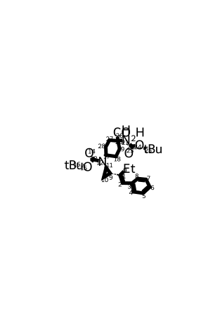 CC/C(=C\c1ccccc1)[C@@H]1C[C@H]1N(C(=O)OC(C)(C)C)C1CCC(NC(=O)OC(C)(C)C)(C(=O)O)CC1